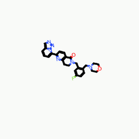 O=C1c2ccc(-c3cccc4cnnn34)nc2CCN1Cc1cc(F)ccc1CN1CCOCC1